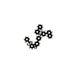 c1ccc(-c2nc3c(ccc4oc5ccc(-c6ccc(N(c7ccc(-c8cccc9ccccc89)cc7)c7cccc8c7oc7ccccc78)cc6)cc5c43)o2)cc1